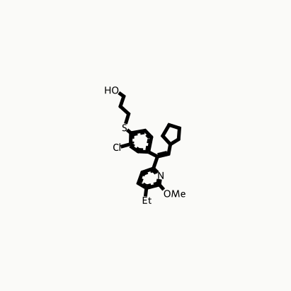 CCc1ccc(C(=CC2CCCC2)c2ccc(SCCCO)c(Cl)c2)nc1OC